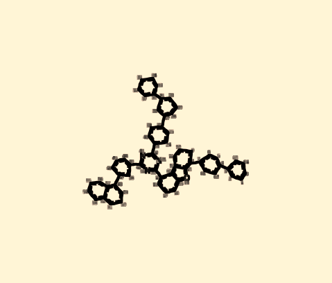 c1ccc(-c2ccc(-c3cccc4c3oc3cccc(-c5nc(-c6ccc(-c7cccc(-c8ccccc8)c7)cc6)nc(-c6cccc(-c7cccc8ccccc78)c6)n5)c34)cc2)cc1